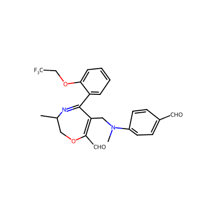 CC1COC(C=O)=C(CN(C)c2ccc(C=O)cc2)C(c2ccccc2OCC(F)(F)F)=N1